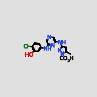 Cc1cc(Nc2cncc(Nc3ccc(Cl)c(O)c3)n2)nn1C(=O)O